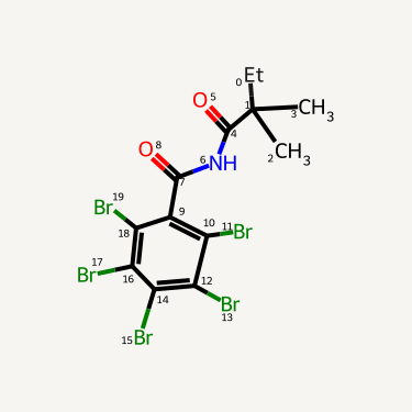 CCC(C)(C)C(=O)NC(=O)c1c(Br)c(Br)c(Br)c(Br)c1Br